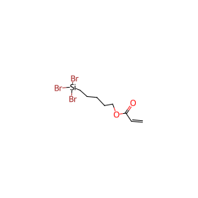 C=CC(=O)OCCCCC[Si](Br)(Br)Br